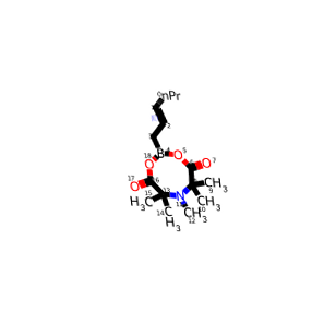 CCC/C=C/CB1OC(=O)C(C)(C)N(C)C(C)(C)C(=O)O1